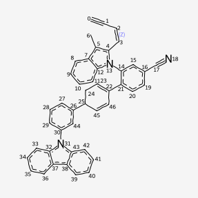 C#C/C=C\c1c(C)c2ccccc2n1-c1cc(C#N)ccc1C1=CCC(c2cccc(-n3c4ccccc4c4ccccc43)c2)C=C1